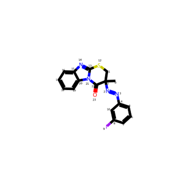 CC1(N=Nc2cccc(I)c2)CSc2nc3ccccc3n2C1=O